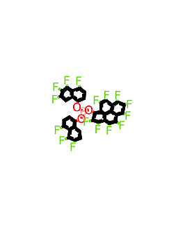 Fc1cc2c(OB(Oc3ccc(F)c4c(F)c(F)ccc34)Oc3c(F)c(F)c4c(F)c(F)c5c(F)c(F)c(F)c6c(F)c(F)c3c4c56)ccc(F)c2c(F)c1F